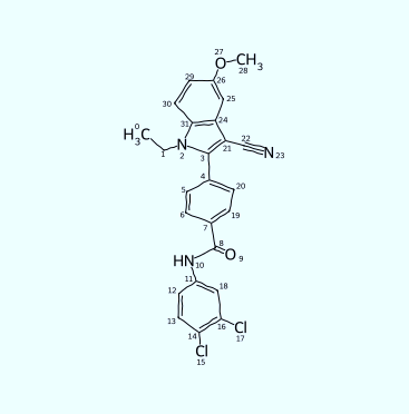 CCn1c(-c2ccc(C(=O)Nc3ccc(Cl)c(Cl)c3)cc2)c(C#N)c2cc(OC)ccc21